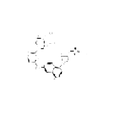 CO[C@H]1[C@@H](O)CN(c2nccc(Nc3cc4c(C(C)C)ccc(N5C[C@H](CS(C)(=O)=O)[C@H]5C)c4cn3)n2)CC1(F)F